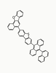 c1ccc2c(-c3c4ccccc4c(-c4ccc5c(c4)sc4cc(-c6cc7c8ccccc8oc7c7ccccc67)ccc45)c4ccccc34)cccc2c1